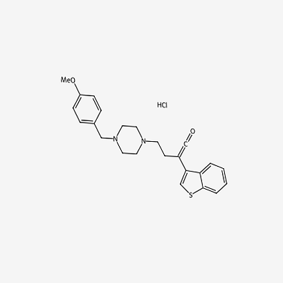 COc1ccc(CN2CCN(CCC(=C=O)c3csc4ccccc34)CC2)cc1.Cl